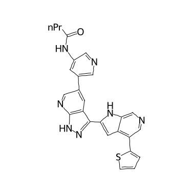 CCCC(=O)Nc1cncc(-c2cnc3[nH]nc(-c4cc5c(-c6cccs6)cncc5[nH]4)c3c2)c1